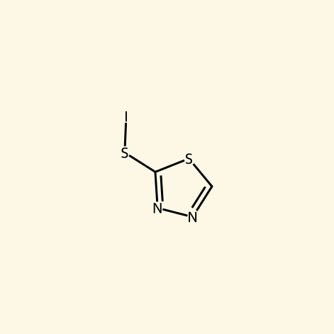 ISc1nncs1